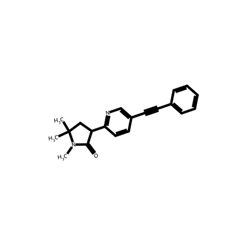 CN1C(=O)C(c2ccc(C#Cc3ccccc3)cn2)CC1(C)C